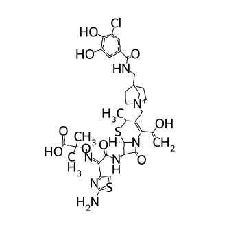 C=C(O)C1=C(C[N+]23CCC(CNC(=O)c4cc(O)c(O)c(Cl)c4)(CC2)C3)[C@H](C)S[C@@H]2[C@H](NC(=O)/C(=N\OC(C)(C)C(=O)O)c3csc(N)n3)C(=O)N12